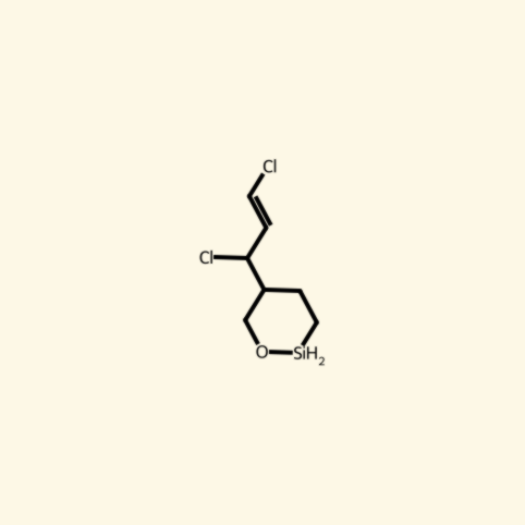 ClC=CC(Cl)C1CC[SiH2]OC1